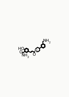 NCc1cccc(C2CCN(C(=O)/C=C/c3ccc(O)c(C(N)=O)c3)CC2)c1